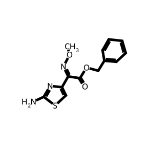 CON=C(C(=O)OCc1ccccc1)c1csc(N)n1